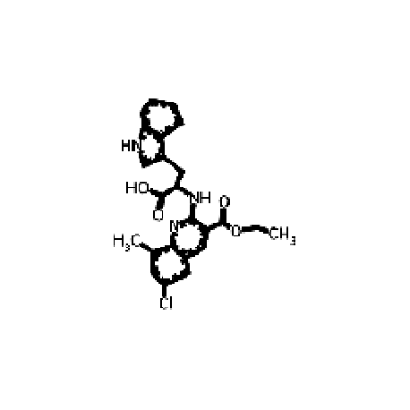 CCOC(=O)c1cc2cc(Cl)cc(C)c2nc1NC(Cc1c[nH]c2ccccc12)C(=O)O